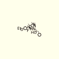 CCOc1ccc(-n2nc3c(NCC(O)Cc4ccccc4)nnc(C)c3c2C)c(F)c1